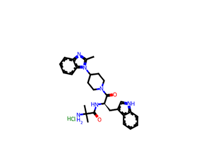 Cc1nc2ccccc2n1C1CCN(C(=O)[C@@H](Cc2c[nH]c3ccccc23)NC(=O)C(C)(C)N)CC1.Cl